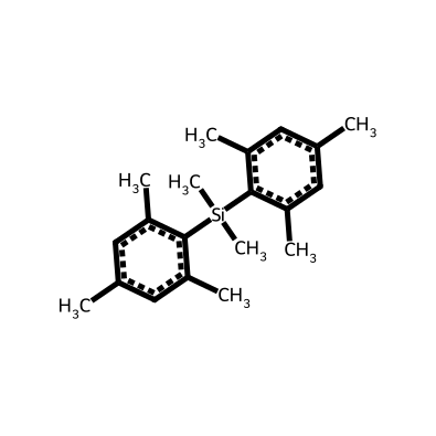 Cc1cc(C)c([Si](C)(C)c2c(C)cc(C)cc2C)c(C)c1